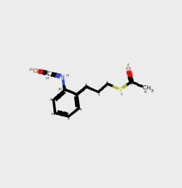 CC(=O)SCCCc1ccccc1N=C=O